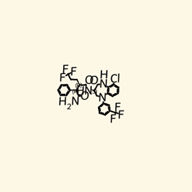 NC(=O)[C@@H](c1ccccc1)[C@@H](CCC(F)(F)F)C(=O)N[C@H]1CN(c2cccc(C(F)(F)F)c2)c2cccc(Cl)c2NC1=O